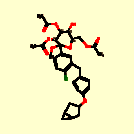 COC1(c2ccc(Cl)c(Cc3ccc(OC4CC5CC5C4)cc3)c2)O[C@H](COC(C)=O)[C@@H](O)[C@H](OC(C)=O)[C@H]1OC(C)=O